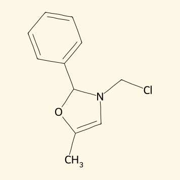 CC1=CN(CCl)C(c2ccccc2)O1